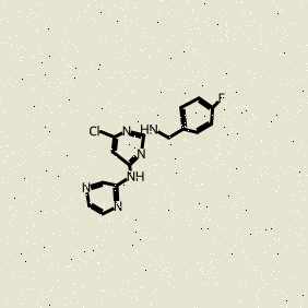 Fc1ccc(CNc2nc(Cl)cc(Nc3cnccn3)n2)cc1